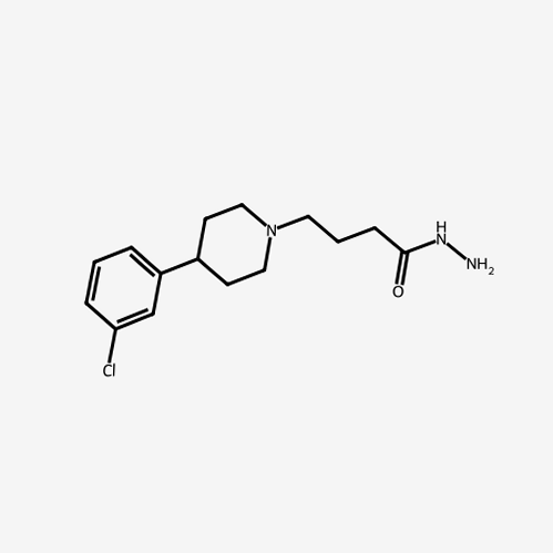 NNC(=O)CCCN1CCC(c2cccc(Cl)c2)CC1